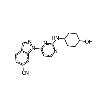 N#Cc1ccc2cnn(-c3ccnc(NC4CCC(O)CC4)n3)c2c1